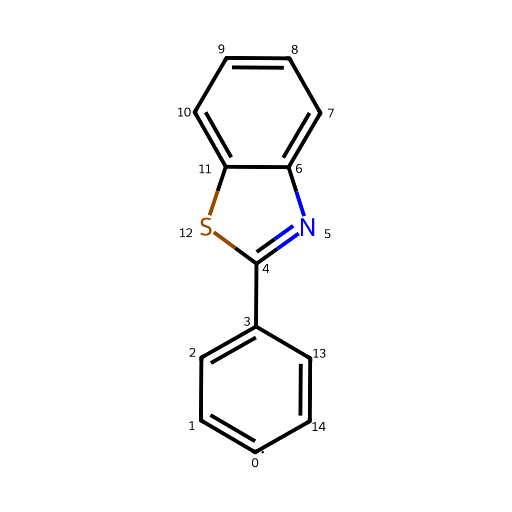 [c]1ccc(-c2nc3ccccc3s2)cc1